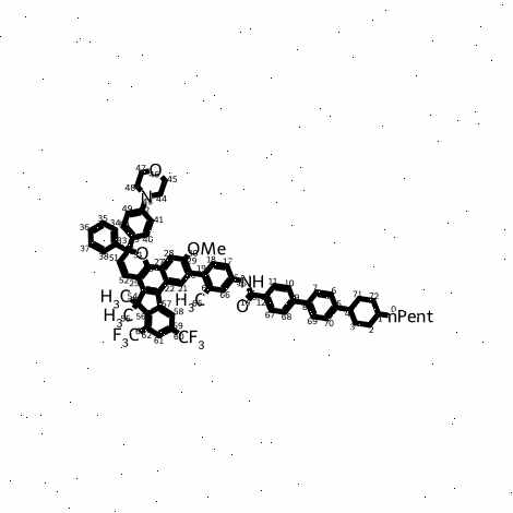 CCCCCC1CCC(c2ccc(-c3ccc(C(=O)Nc4ccc(-c5cc6c7c(c8c(c6cc5OC)OC(c5ccccc5)(c5ccc(N6CCOCC6)cc5)C=C8)C(C)(C)c5c-7cc(C(F)(F)F)cc5C(F)(F)F)c(C)c4)cc3)cc2)CC1